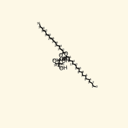 CCCCCCCCCCCCCCCCCC(=O)OC(=O)CCCCCCCCCCCCCCC.OCC(CO)(CO)CO